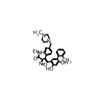 CCNC(=O)c1noc(-c2cc(-c3ccccc3C)c(O)cc2O)c1-c1ccc(CN2CCN(C)CC2)cc1